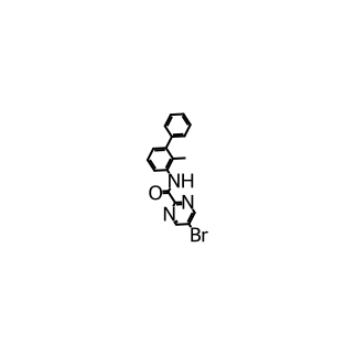 Cc1c(NC(=O)c2ncc(Br)cn2)cccc1-c1ccccc1